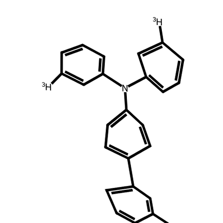 [3H]c1cccc(-c2ccc(N(c3cccc([3H])c3)c3cccc([3H])c3)cc2)c1